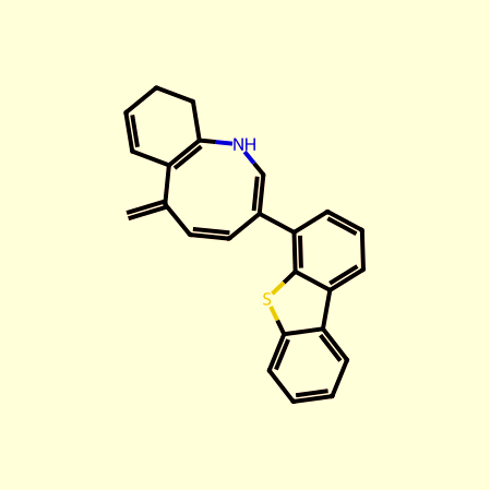 C=C1/C=C\C(c2cccc3c2sc2ccccc23)=C/NC2=C1C=CCC2